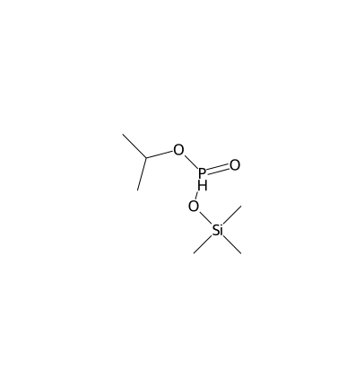 CC(C)O[PH](=O)O[Si](C)(C)C